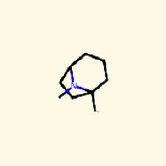 [CH2]C12CCCC(CC1)N2C